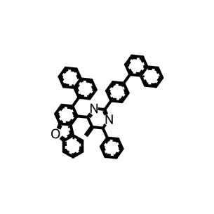 C=C1C(c2c(-c3cccc4ccccc34)ccc3oc4ccccc4c23)=NC(c2ccc(-c3cccc4ccccc34)cc2)=NC1c1ccccc1